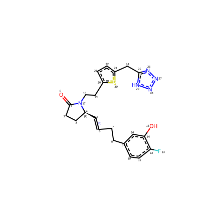 O=C1CC[C@H](/C=C/CCc2ccc(F)c(O)c2)N1CCc1ccc(Cc2nnn[nH]2)s1